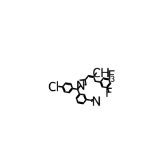 CC(=CC1CN(C(c2ccc(Cl)cc2)c2cccc(C#N)c2)C1)Cc1cc(F)cc(F)c1